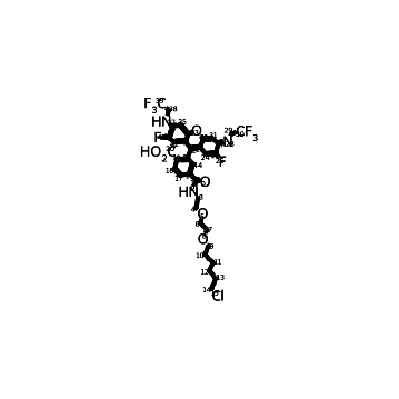 O=C(NCCOCCOCCCCCCCl)c1ccc(C(=O)O)c(-c2c3cc(F)c(=NCC(F)(F)F)cc-3oc3cc(NCC(F)(F)F)c(F)cc23)c1